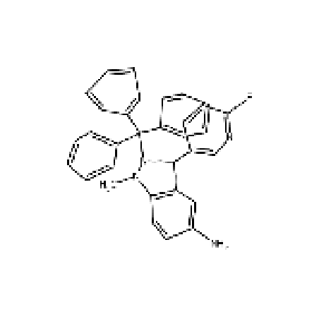 CN1c2ccc(N)cc2C(c2ccc(F)nc2)N1C(c1ccccc1)(c1ccccc1)c1ccccc1